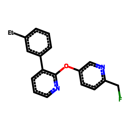 CCc1cccc(-c2cccnc2Oc2ccc(CF)nc2)c1